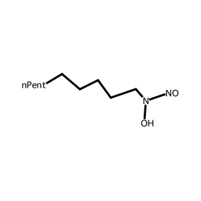 CCCCCCCCCCN(O)N=O